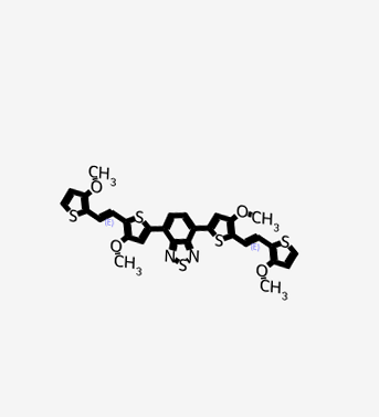 COc1ccsc1/C=C/c1sc(-c2ccc(-c3cc(OC)c(/C=C/c4sccc4OC)s3)c3nsnc23)cc1OC